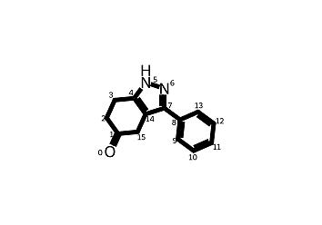 O=C1CCc2[nH]nc(-c3ccccc3)c2C1